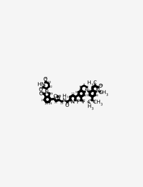 Cc1cc2c(N3CCCc4cc(-c5ccc(C(=O)NCc6cc(-c7cccc8c7CN(C7CCC(=O)NC7=O)C8=O)on6)nc5)c(C(F)F)cc43)cc(C(C)C)cc2n(C)c1=O